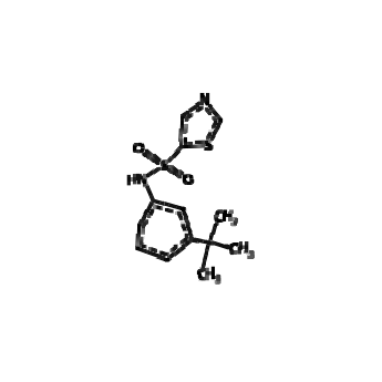 CC(C)(C)c1cccc(NS(=O)(=O)c2cncs2)c1